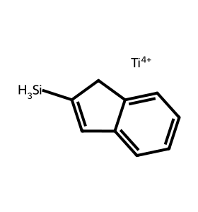 [SiH3]C1=Cc2ccccc2C1.[Ti+4]